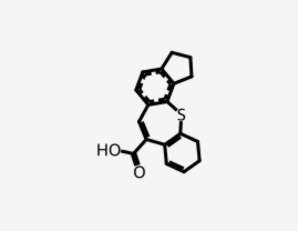 O=C(O)C1=Cc2ccc3c(c2SC2=C1C=CCC2)CCC3